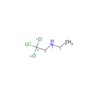 CCNCC(Cl)(Cl)Cl